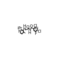 Cc1ccnc(C(C)C)c1NCC(=O)NC(=O)c1cc(F)c(Cl)nc1Cl